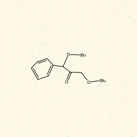 CC(C)(C)OCC(=O)C(OC(C)(C)C)c1ccccc1